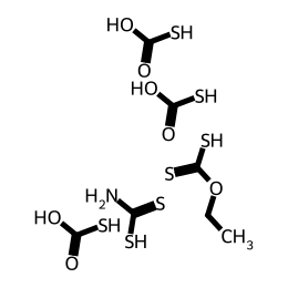 CCOC(=S)S.NC(=S)S.O=C(O)S.O=C(O)S.O=C(O)S